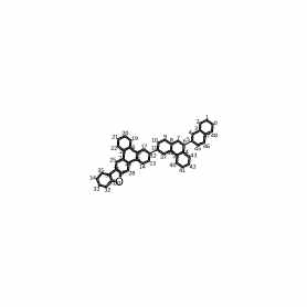 c1ccc2cc(-c3cc4ccc(-c5ccc6c(c5)c5ccccc5c5cc7c(cc65)oc5ccccc57)cc4c4ccccc34)ccc2c1